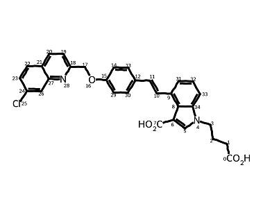 O=C(O)CCCn1cc(C(=O)O)c2c(/C=C/c3ccc(OCc4ccc5ccc(Cl)cc5n4)cc3)cccc21